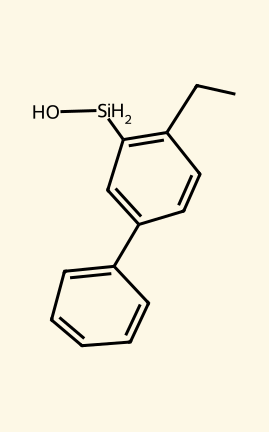 CCc1ccc(-c2ccccc2)cc1[SiH2]O